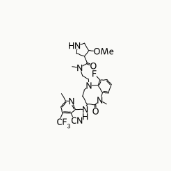 COC1CNCC1C(=O)N(C)CCN1CC[C@H](Nc2nc(C)cc(C(F)(F)F)c2C#N)C(=O)N(C)c2cccc(F)c21